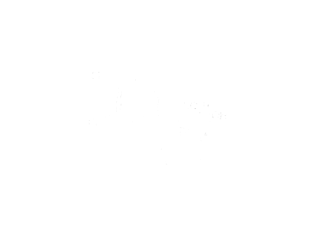 O=C(O)[C@@]1(c2ccc(Cl)c(Cl)c2)CCCC[C@H]1O